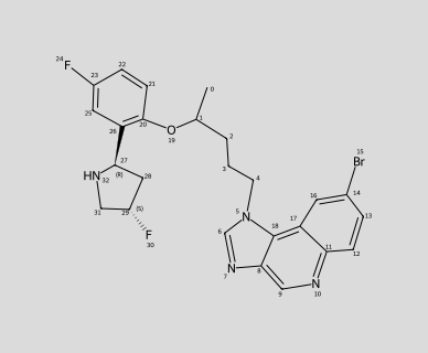 CC(CCCn1cnc2cnc3ccc(Br)cc3c21)Oc1ccc(F)cc1[C@H]1C[C@H](F)CN1